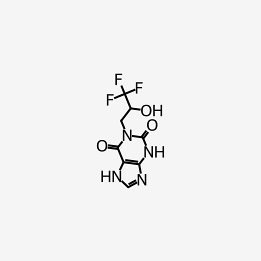 O=c1[nH]c2nc[nH]c2c(=O)n1CC(O)C(F)(F)F